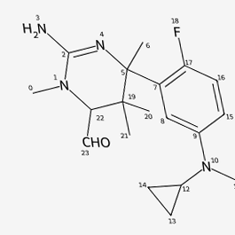 CN1C(N)=NC(C)(c2cc(N(C)C3CC3)ccc2F)C(C)(C)C1C=O